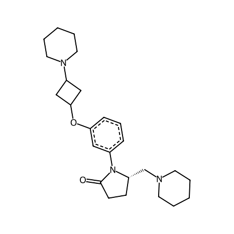 O=C1CC[C@@H](CN2CCCCC2)N1c1cccc(OC2CC(N3CCCCC3)C2)c1